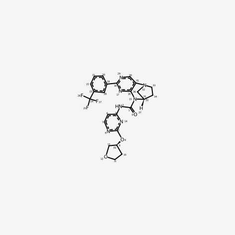 O=C(Nc1ccnc(O[C@H]2CCOC2)n1)N1c2nc(-c3cccc(C(F)(F)F)c3)ncc2N2CC[C@H]1C2